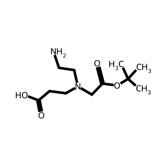 CC(C)(C)OC(=O)CN(CCN)CCC(=O)O